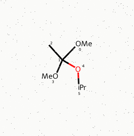 COC(C)(OC)OC(C)C